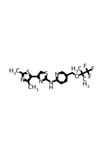 Cc1nc(C)c(-c2csc(Nc3ccc(COC(C)(C)C(F)(F)F)cn3)n2)s1